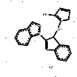 CCCC1=[C]([Zr+2][CH]2C(n3ncc4ccccc43)=Cc3ccccc32)CC=C1.[Cl-].[Cl-]